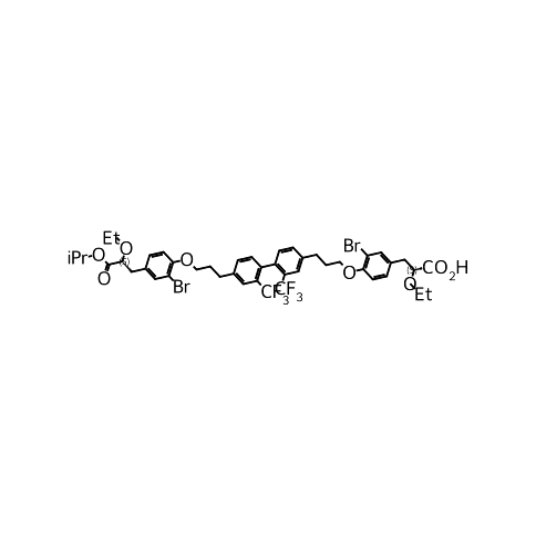 CCO[C@@H](Cc1ccc(OCCCc2ccc(-c3ccc(CCCOc4ccc(C[C@H](OCC)C(=O)OC(C)C)cc4Br)cc3C(F)(F)F)c(C(F)(F)F)c2)c(Br)c1)C(=O)O